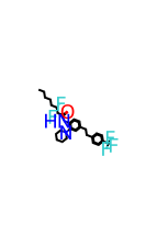 CCCCC[C@H](F)[C@@H](F)C(=O)Nc1ccc(CCc2ccc(C(F)(F)F)cc2)cc1N1CCCCC1